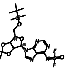 CC1(C)OC2C(O1)[C@@H](CO[Si](C)(C)C(C)(C)C)O[C@H]2n1cnc2c(N=S(=O)(F)F)ncnc21